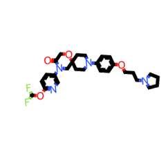 O=C1COC2(CCN(c3ccc(OCCCN4CCCC4)cc3)CC2)CN1c1ccc(OC(F)F)nc1